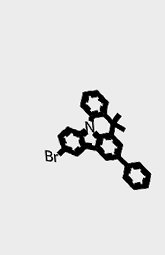 CC1(C)c2ccccc2-n2c3ccc(Br)cc3c3cc(-c4ccccc4)cc1c32